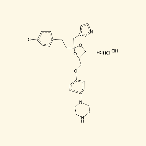 Cl.Cl.Cl.Clc1ccc(CCC2(Cn3ccnc3)OCC(COc3ccc(N4CCNCC4)cc3)O2)cc1